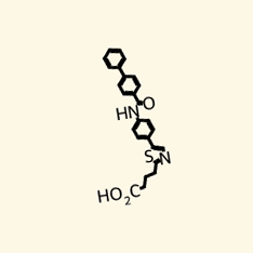 O=C(O)CCCc1ncc(-c2ccc(NC(=O)c3ccc(-c4ccccc4)cc3)cc2)s1